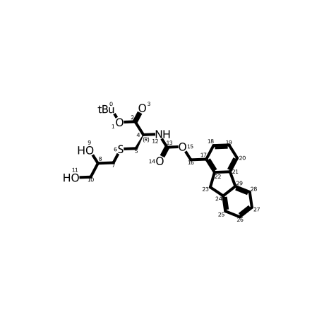 CC(C)(C)OC(=O)[C@H](CSCC(O)CO)NC(=O)OCc1cccc2c1Cc1ccccc1-2